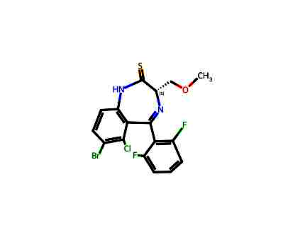 COC[C@@H]1N=C(c2c(F)cccc2F)c2c(ccc(Br)c2Cl)NC1=S